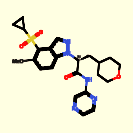 COc1ccc2c(cnn2[C@H](CC2CCOCC2)C(=O)Nc2cnccn2)c1S(=O)(=O)C1CC1